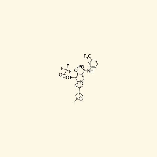 CC(C)Oc1c(C(=O)Nc2cccc(C(F)(F)F)n2)cn2cc(C34COC(C)(C3)C4)nc2c1F.O=C(O)C(F)(F)F